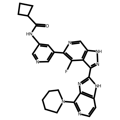 O=C(Nc1cncc(-c2ncc3[nH]nc(-c4nc5c(N6CCCCC6)nccc5[nH]4)c3c2F)c1)C1CCC1